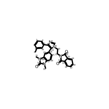 Cc1cccc(-c2ncn(CCN3C(=O)c4ccccc4C3=O)c2-c2ccc3c(c2)n(C)c(=O)n3C)c1